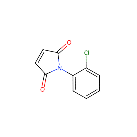 O=C1C=CC(=O)N1c1ccccc1Cl